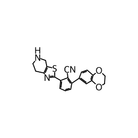 N#Cc1c(-c2ccc3c(c2)OCCO3)cccc1-c1nc2c(s1)CNCC2